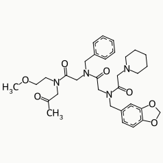 COCCN(CC(C)=O)C(=O)CN(Cc1ccccc1)C(=O)CN(Cc1ccc2c(c1)OCO2)C(=O)CN1CCCCC1